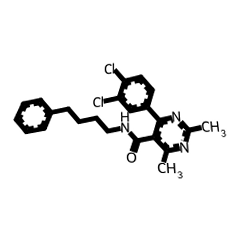 Cc1nc(C)c(C(=O)NCCCCc2ccccc2)c(-c2ccc(Cl)c(Cl)c2)n1